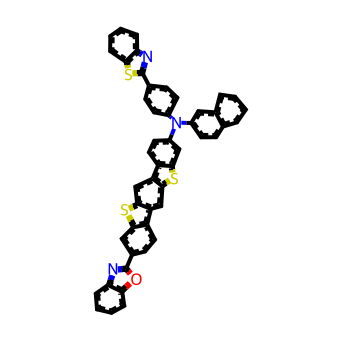 c1ccc2cc(N(c3ccc(-c4nc5ccccc5s4)cc3)c3ccc4c(c3)sc3cc5c(cc34)sc3cc(-c4nc6ccccc6o4)ccc35)ccc2c1